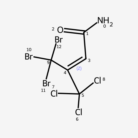 NC(=O)/C=C(/C(Cl)(Cl)Cl)C(Br)(Br)Br